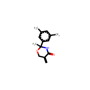 C=C1COC(c2cc(C(F)(F)F)cc(C(F)(F)F)c2)(C(F)(F)F)NC1=O